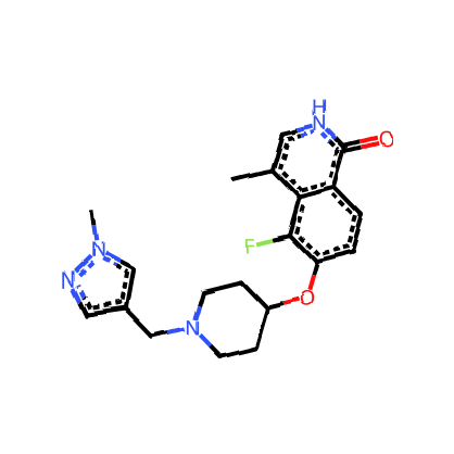 Cc1c[nH]c(=O)c2ccc(OC3CCN(Cc4cnn(C)c4)CC3)c(F)c12